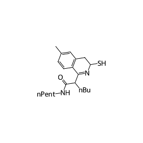 CCCCCNC(=O)C(CCCC)C1=NC(S)Cc2cc(C)ccc21